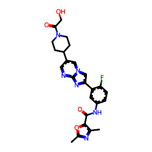 Cc1nc(C)c(C(=O)Nc2ccc(F)c(-c3cn4cc(C5CCN(C(=O)CO)CC5)cnc4n3)c2)o1